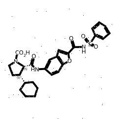 O=C(NS(=O)(=O)c1ccccc1)c1cc2cc(NC(=O)[C@@H]3[C@H](C4CCCCC4)CCN3C(=O)O)ccc2o1